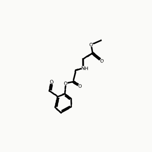 COC(=O)CNCC(=O)Oc1ccccc1C=O